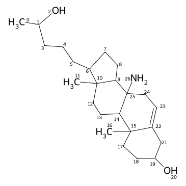 CC(O)CCCC1CCC2C1(C)CCC1C3(C)CCC(O)CC3=CCC12N